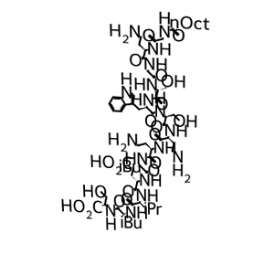 CCCCCCCCC(=O)NCC(=O)N[C@H](CCN)C(=O)NCC(=O)N[C@H](CO)C(=O)N[C@H](Cc1c[nH]c2ccccc12)C(=O)N[C@@H](CO)C(=O)N[C@@H](CCN)C(=O)N[C@H](CCN)C(=O)N[C@H](C(=O)N[C@@H](CCC(=O)O)C(=O)N[C@H](C(=O)N[C@@H](C(=O)N[C@@H](CO)C(=O)O)[C@@H](C)CC)C(C)C)[C@@H](C)CC